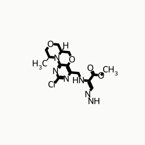 COC(=O)/C(=C/N=N)NCc1nc(Cl)nc2c1OC[C@@H]1COC[C@@H](C)N21